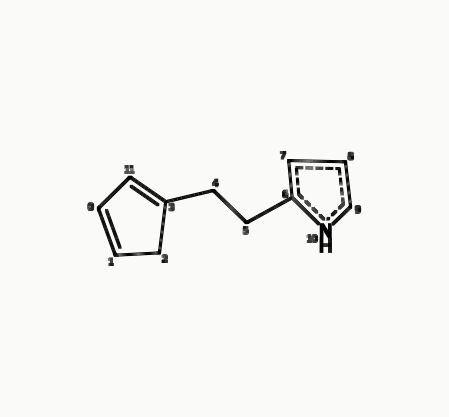 C1=CCC(CCc2ccc[nH]2)=C1